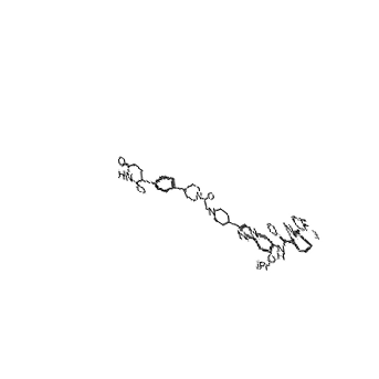 CC(C)Oc1cc2nc(C3CCN(CC(=O)N4CCC(c5ccc(C6CCC(=O)NC6=O)cc5)CC4)CC3)cn2cc1NC(=O)c1cccc(C(F)(F)F)n1